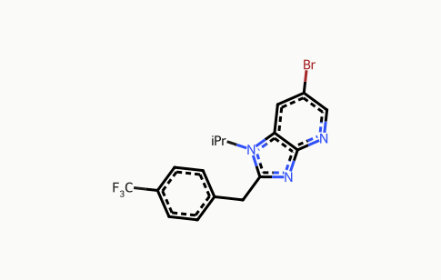 CC(C)n1c(Cc2ccc(C(F)(F)F)cc2)nc2ncc(Br)cc21